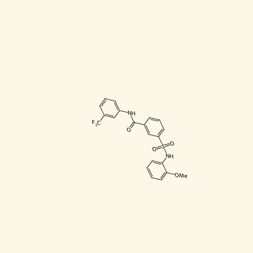 COc1ccccc1NS(=O)(=O)c1cccc(C(=O)Nc2cccc(C(F)(F)F)c2)c1